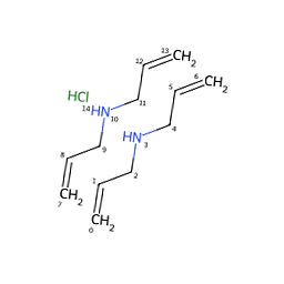 C=CCNCC=C.C=CCNCC=C.Cl